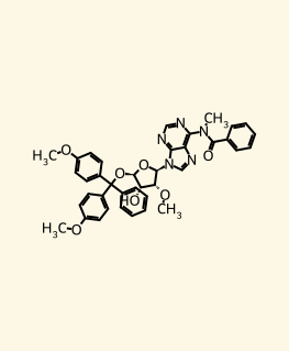 COc1ccc(C(O[C@H]2O[C@@H](n3cnc4c(N(C)C(=O)c5ccccc5)ncnc43)[C@H](OC)[C@@H]2O)(c2ccccc2)c2ccc(OC)cc2)cc1